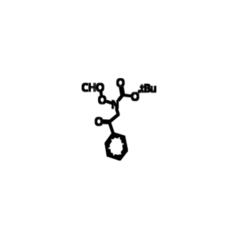 CC(C)(C)OC(=O)N(CC(=O)c1ccccc1)OC=O